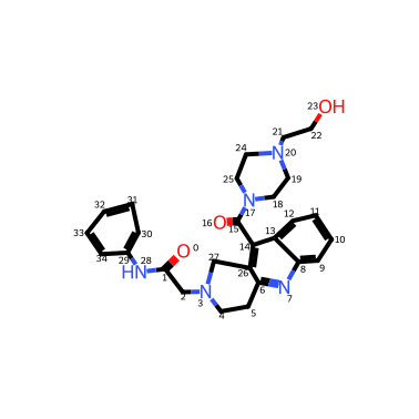 O=C(CN1CCc2nc3ccccc3c(C(=O)N3CCN(CCO)CC3)c2C1)Nc1ccccc1